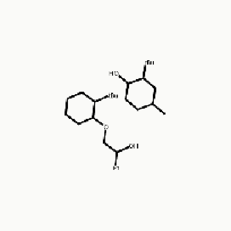 CC1CCC(O)C(C(C)(C)C)C1.CCC(O)COC1CCCCC1C(C)(C)C